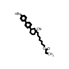 C=CC(=O)OCCCCCCCC1(C#N)CCCC(c2ccc(-c3ccc(CCCC)cc3)cc2)C1